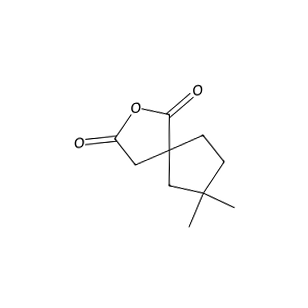 CC1(C)CCC2(CC(=O)OC2=O)C1